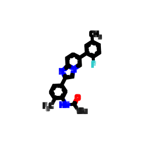 Cc1ccc(F)c(-c2ccc3nc(-c4ccc(C(F)(F)F)c(NC(=O)C(C)(C)C)c4)cn3c2)c1